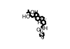 CC(C)=C(O)/C(O)=C\C1=C=CC=C2[C@@]1(C)CC[C@@]1(C)[C@@H]3C[C@](C)(CNC(=O)N4CCN(C)CC4)CC[C@]3(C)CC[C@]21C